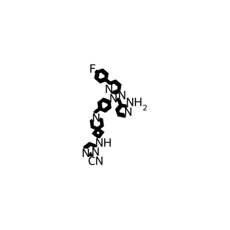 N#Cc1nccc(NC2CC3(CCN(Cc4ccc(-n5c(-c6cccnc6N)nc6ccc(-c7ccc(F)cc7)nc65)cc4)CC3)C2)n1